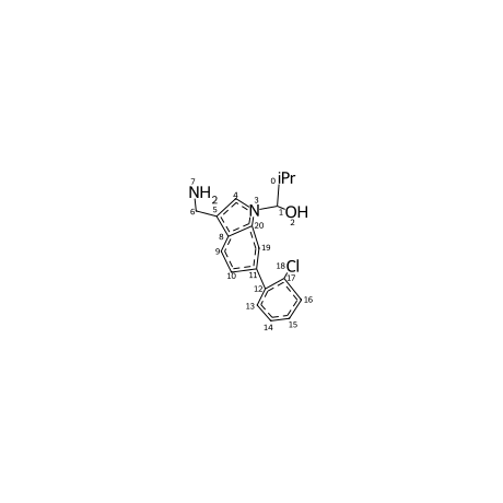 CC(C)C(O)n1cc(CN)c2ccc(-c3ccccc3Cl)cc21